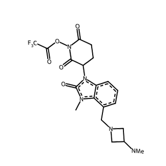 CNC1CN(Cc2cccc3c2n(C)c(=O)n3C2CCC(=O)N(OC(=O)C(F)(F)F)C2=O)C1